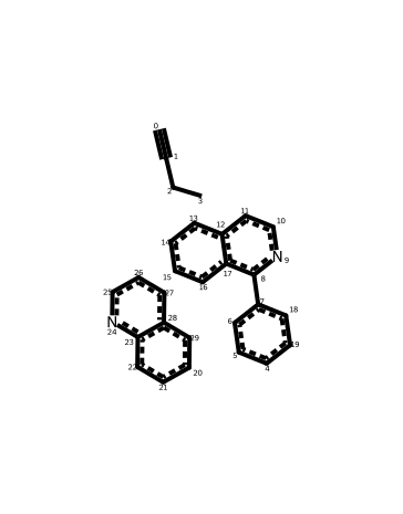 C#CCC.c1ccc(-c2nccc3ccccc23)cc1.c1ccc2ncccc2c1